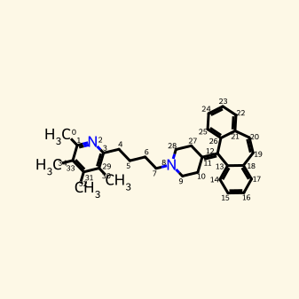 Cc1nc(CCCCN2CCC(=C3c4ccccc4C=Cc4ccccc43)CC2)c(C)c(C)c1C